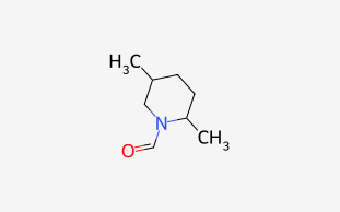 CC1CCC(C)N(C=O)C1